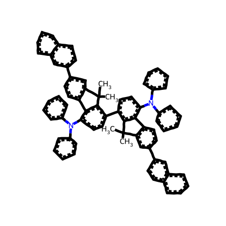 CC1(C)c2cc(-c3ccc4ccccc4c3)ccc2-c2c(N(c3ccccc3)c3ccccc3)ccc(-c3ccc(N(c4ccccc4)c4ccccc4)c4c3C(C)(C)c3cc(-c5ccc6ccccc6c5)ccc3-4)c21